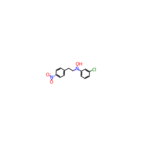 O=[N+]([O-])c1ccc(CCN(O)c2cccc(Cl)c2)cc1